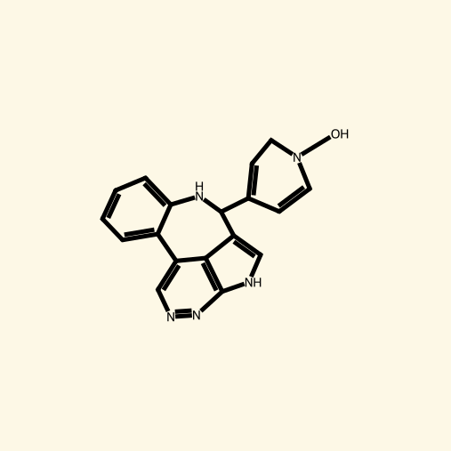 ON1C=CC(C2Nc3ccccc3-c3cnnc4[nH]cc2c34)=CC1